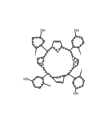 Oc1ccc(I)c(-c2c3nc(c(-c4cc(O)ccc4I)c4ccc([nH]4)c(-c4cc(O)ccc4I)c4nc(c(-c5cc(O)ccc5I)c5ccc2[nH]5)C=C4)C=C3)c1